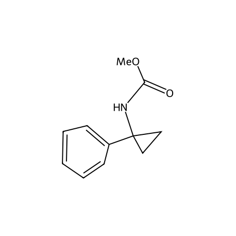 COC(=O)NC1(c2ccccc2)CC1